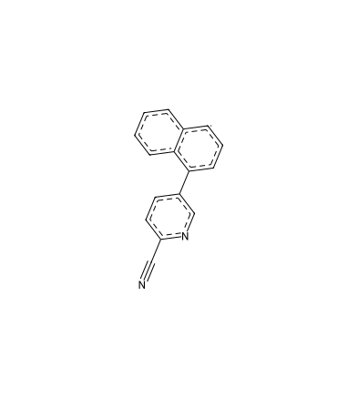 N#Cc1ccc(-c2cc[c]c3ccccc23)cn1